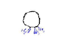 NC1=C(N)C(N)CCCCCCCCC1